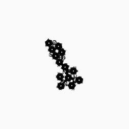 O=P(c1ccccc1)(c1ccccc1)c1ccc2sc3ccc(P(=O)(c4ccccc4)c4cccc(-c5ccc6c(c5)nc(-c5cc(-c7nc8ccccc8n7-c7ccccc7)cc(-c7nc8ccccc8n7-c7ccccc7)c5)n6-c5ccccc5)c4)cc3c2c1